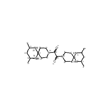 CC1CC(C)NC2(CCN(C(=O)C(=O)N3CCC4(CC3)NC(C)CC(C)N4)CC2)N1